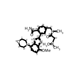 COc1ccc(N2CCOCC2)c2sc(-c3cc(CN(C)C(=O)CN(C)C)ccc3C(N)=O)nc12